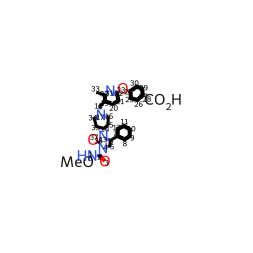 CONC(=O)N1CC(c2ccccc2)N(C2CCN(Cc3ccc(Oc4ccc(C(=O)O)cc4)nc3C)CC2)C1=O